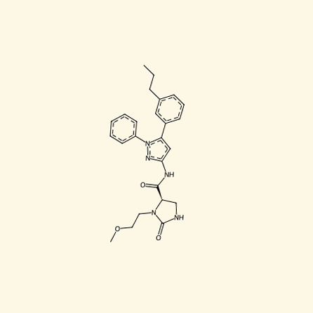 CCCc1cccc(-c2cc(NC(=O)[C@H]3CNC(=O)N3CCOC)nn2-c2ccccc2)c1